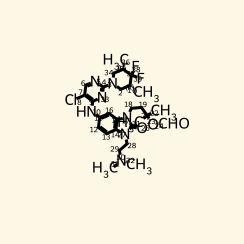 C[C@@H]1CN(c2ncc(Cl)c(Nc3ccc4c(c3)n(CCC(C)(C)OC=O)c(=O)n4CCN(C)C)n2)C[C@H](C)C1(F)F